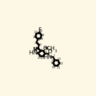 COc1c(C(=O)NCc2ccccc2)ccc2[nH]nc(C=Cc3ccc(F)cc3)c12